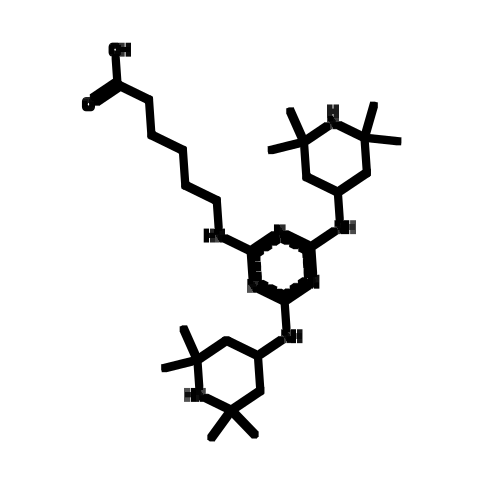 CC1(C)CC(Nc2nc(NCCCCCC(=O)O)nc(NC3CC(C)(C)NC(C)(C)C3)n2)CC(C)(C)N1